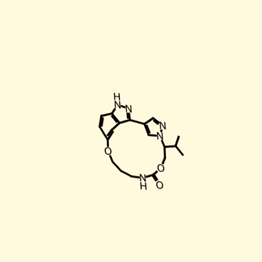 CC(C)C1COC(=O)NCCCOc2ccc3[nH]nc(c3c2)-c2cnn1c2